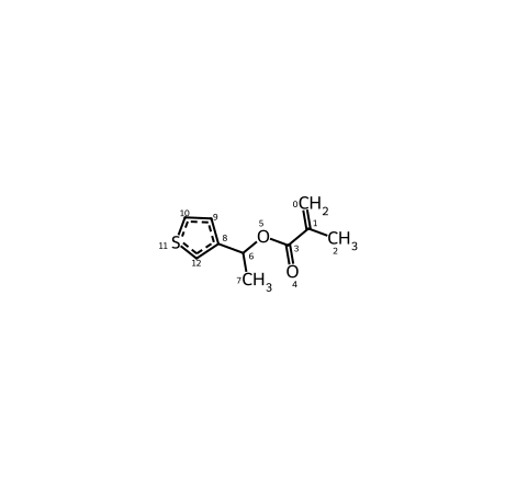 C=C(C)C(=O)OC(C)c1ccsc1